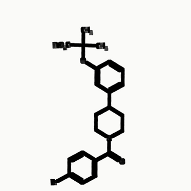 CCOC(=O)C(C)(C)Oc1cccc(C2CCN(C(=O)c3ccc(Br)cc3)CC2)c1